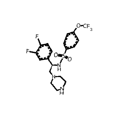 O=S(=O)(N[C@@H](CN1CCNCC1)c1ccc(F)c(F)c1)c1ccc(OC(F)(F)F)cc1